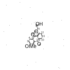 COc1cccc2c1C(=O)c1cccc(OCCO)c1C2=O